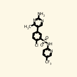 Cc1nc(N)ncc1-c1ccc(Cl)c(S(=O)(=O)Nc2ccc(C(F)(F)F)cn2)c1